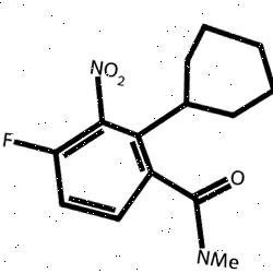 CNC(=O)c1ccc(F)c([N+](=O)[O-])c1C1CCCCC1